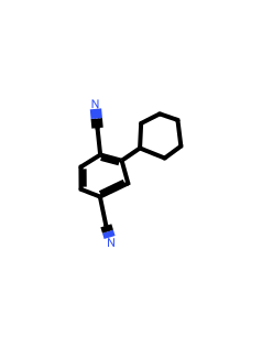 N#Cc1ccc(C#N)c(C2CCCCC2)c1